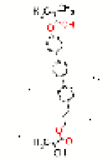 C=C(C)C(=O)OCCCc1ccc(-c2ccc(-c3ccc(OC(O)C(=C)C)cc3)cc2)cc1